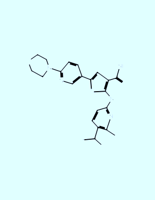 Cc1nc(Nc2sc(-c3ccc(N4CCOCC4)nc3)cc2C(N)=O)ccc1C(C)O